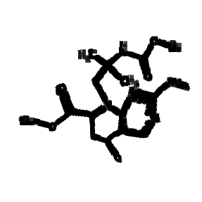 CSc1ncc2c(n1)N(CC(C)(C)NC(=O)OC(C)(C)C)C(C(=O)OC(C)(C)C)CC2=O